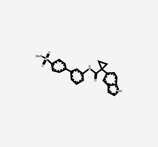 CNS(=O)(=O)c1ccc(-c2cccc(NC(=O)C3(c4ccc5[nH]ccc5c4)CC3)c2)cc1